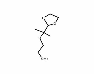 COCCOC(C)(C)C1OCCO1